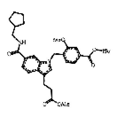 COC(=O)CCc1cn(Cc2ccc(C(=O)OC(C)(C)C)cc2OC)c2cc(C(=O)NCC3CCCC3)ccc12